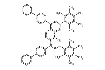 Cc1c(C)c(C)c(-c2cc(-c3ccc(-c4ccccc4)cc3)c3ccc4c(-c5ccc(-c6ccccc6)cc5)cc(-c5c(C)c(C)c(C)c(C)c5C)nc4c3n2)c(C)c1C